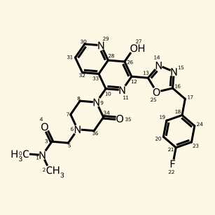 CN(C)C(=O)CN1CCN(c2nc(-c3nnc(Cc4ccc(F)cc4)o3)c(O)c3ncccc23)C(=O)C1